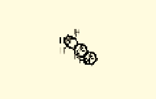 C1CC2NCC1C1=C2N2CCC1C1=C2[C@H]2CC[C@@H]1N2